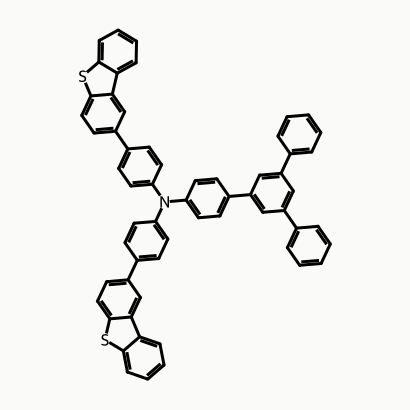 c1ccc(-c2cc(-c3ccccc3)cc(-c3ccc(N(c4ccc(-c5ccc6sc7ccccc7c6c5)cc4)c4ccc(-c5ccc6sc7ccccc7c6c5)cc4)cc3)c2)cc1